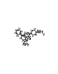 CCCC1C2CC3(C(=S)N[C@H]4CC[C@H](N)CC4)CC1CC(c1ccccc1)(C2)C3